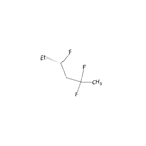 [CH2]C[C@H](F)CC(C)(F)F